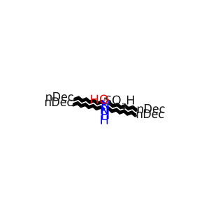 CCCCCCCCCCCCCCCCCCNCCCCCCCCCCCCCCCCCC.CCCCCCCCCCCCCCCCCCNCCCCCCCCCCCCCCCCCC.O=S(=O)(O)O